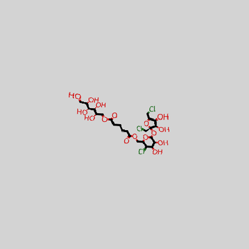 O=C(CCCCC(=O)OC[C@@H](O)[C@@H](O)[C@H](O)[C@H](O)CO)OCC1OC(O[C@]2(CCl)OC(CCl)C(O)C2O)C(O)C(O)C1Cl